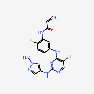 C=CC(=O)Nc1cc(Nc2nc(Nc3cnn(C)c3)ncc2Cl)ccc1F